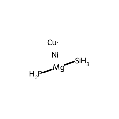 [Cu].[Ni].[SiH3][Mg][PH2]